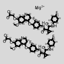 COc1cc2c(Oc3ccc(NC(=O)C4(C(=O)Nc5ccc(F)cc5)CC4)cc3F)ccnc2cc1OCC(=O)[O-].COc1cc2c(Oc3ccc(NC(=O)C4(C(=O)Nc5ccc(F)cc5)CC4)cc3F)ccnc2cc1OCC(=O)[O-].[Mg+2]